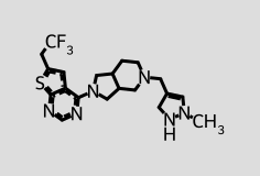 CN1C=C(CN2CCC3CN(c4ncnc5sc(CC(F)(F)F)cc45)CC3C2)CN1